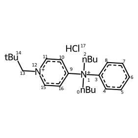 CCCC[N+](CCCC)(c1ccccc1)c1cc[n+](CC(C)(C)C)cc1.Cl